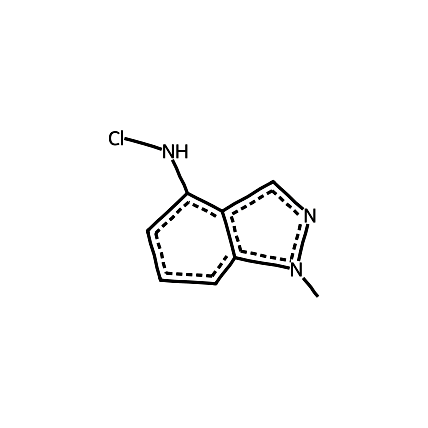 Cn1ncc2c(NCl)cccc21